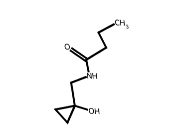 CCCC(=O)NCC1(O)CC1